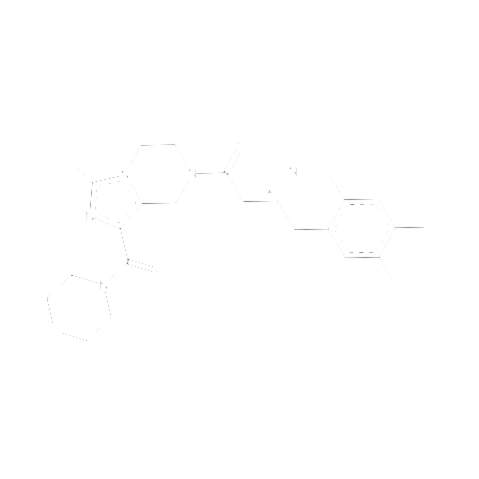 N[C@@H](CC(=O)N1CCn2c(C(F)(F)F)nc(C(=O)N3CCOCC3)c2C1)Cc1cc(F)c(F)cc1F